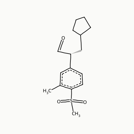 Cc1cc([C@H](C=O)CC2CCCC2)ccc1S(C)(=O)=O